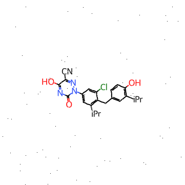 CC(C)c1cc(Cc2c(Cl)cc(-n3nc(C#N)c(O)nc3=O)cc2C(C)C)ccc1O